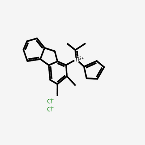 C[C](C)=[Ti+2]([C]1=CC=CC1)[c]1c(C)c(C)cc2c1Cc1ccccc1-2.[Cl-].[Cl-]